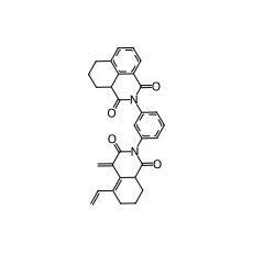 C=CC1=C2C(=C)C(=O)N(c3cccc(N4C(=O)c5cccc6c5C(CCC6)C4=O)c3)C(=O)C2CCC1